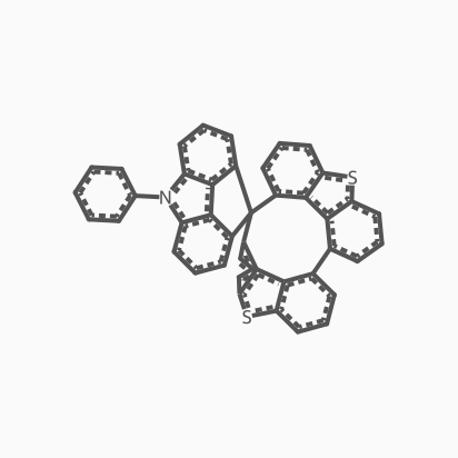 c1ccc(-n2c3cccc4c3c3c(cccc32)C42c3cccc4sc5cccc(c5c34)-c3cccc4sc5cccc2c5c34)cc1